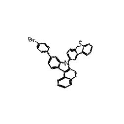 Brc1ccc(-c2ccc3c4c5ccccc5ccc4n(-c4ccc5sc6ccccc6c5c4)c3c2)cc1